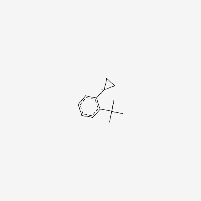 CC(C)(C)c1ccccc1[C]1CC1